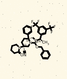 C[C@@H](OC[C@@]1(c2ccccc2)CC[C@](C#N)(N2CCCCC2=O)CN1C(=O)OCc1ccccc1)c1cc(C(F)(F)F)cc(C(F)(F)F)c1